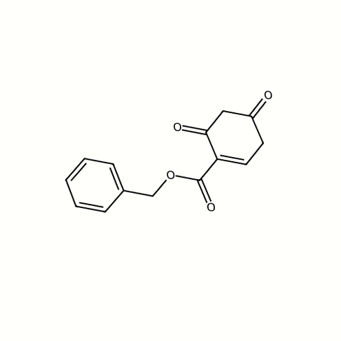 O=C1CC=C(C(=O)OCc2ccccc2)C(=O)C1